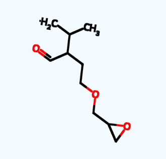 [CH2]C(C)C(C=O)CCOCC1CO1